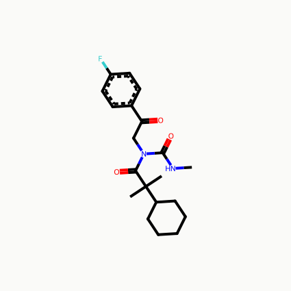 CNC(=O)N(CC(=O)c1ccc(F)cc1)C(=O)C(C)(C)C1CCCCC1